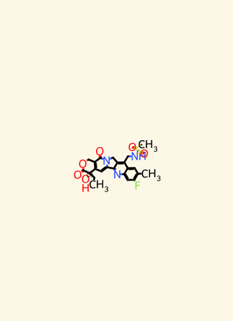 CC[C@@]1(O)C(=O)OCc2c1cc1n(c2=O)Cc2c-1nc1cc(F)c(C)cc1c2CNS(C)(=O)=O